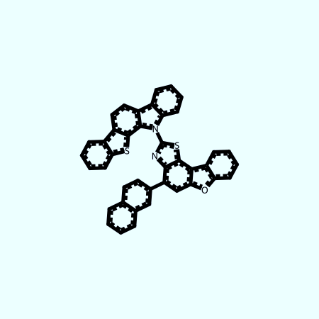 c1ccc2cc(-c3cc4oc5ccccc5c4c4sc(-n5c6ccccc6c6ccc7c8ccccc8sc7c65)nc34)ccc2c1